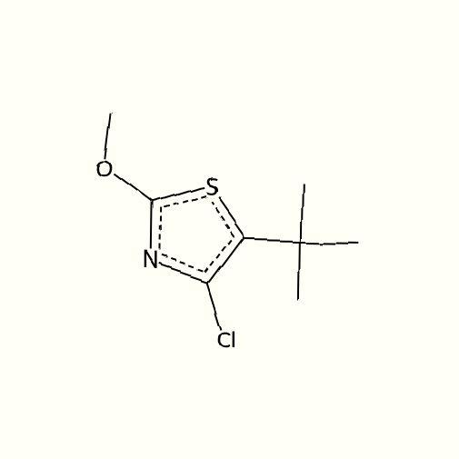 COc1nc(Cl)c(C(C)(C)C)s1